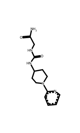 NC(=O)CNC(=O)NC1CCN(c2ccccn2)CC1